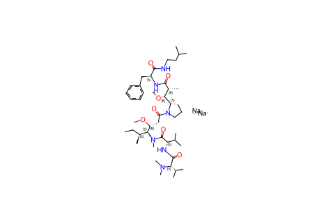 CC[C@H](C)[C@@H]([C@@H](CC(=O)N1CCC[C@H]1[C@H](OC)[C@@H](C)C(=O)N[C@@H](Cc1ccccc1)C(=O)NCCC(C)C)OC)N(C)C(=O)[C@@H](NC(=O)[C@H](C(C)C)N(C)C)C(C)C.[Na].[Na]